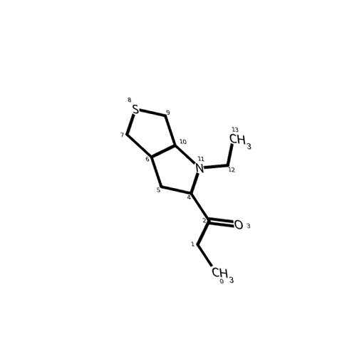 CCC(=O)C1CC2CSCC2N1CC